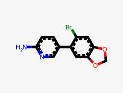 Nc1ccc(-c2cc3c(cc2Br)OCO3)cn1